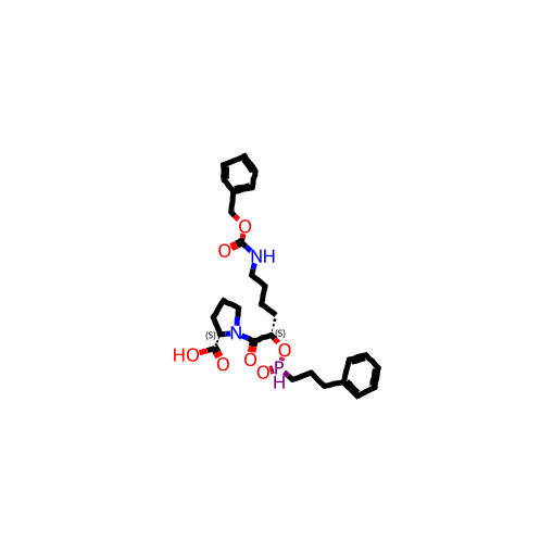 O=C(NCCCC[C@H](O[PH](=O)CCCc1ccccc1)C(=O)N1CCC[C@H]1C(=O)O)OCc1ccccc1